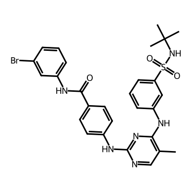 Cc1cnc(Nc2ccc(C(=O)Nc3cccc(Br)c3)cc2)nc1Nc1cccc(S(=O)(=O)NC(C)(C)C)c1